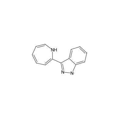 C1=CC=C(C2=N[N]c3ccccc32)NC=C1